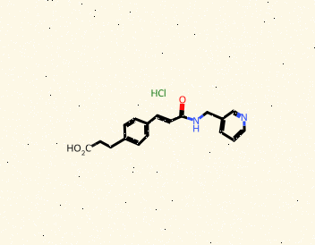 Cl.O=C(O)CCc1ccc(C=CC(=O)NCc2cccnc2)cc1